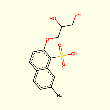 O=S(=O)(O)c1c(OCC(O)CO)ccc2cc[c]([Na])cc12